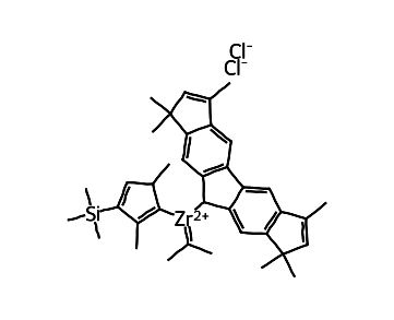 CC1=CC(C)(C)c2cc3c(cc21)-c1cc2c(cc1[CH]3[Zr+2]([C]1=C(C)C([Si](C)(C)C)=CC1C)=[C](C)C)C(C)(C)C=C2C.[Cl-].[Cl-]